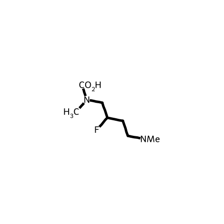 CNCCC(F)CN(C)C(=O)O